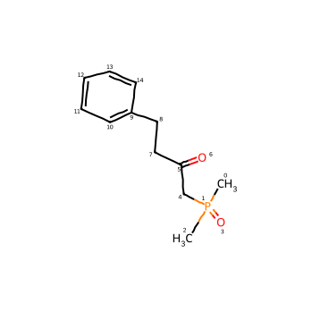 CP(C)(=O)CC(=O)CCc1ccccc1